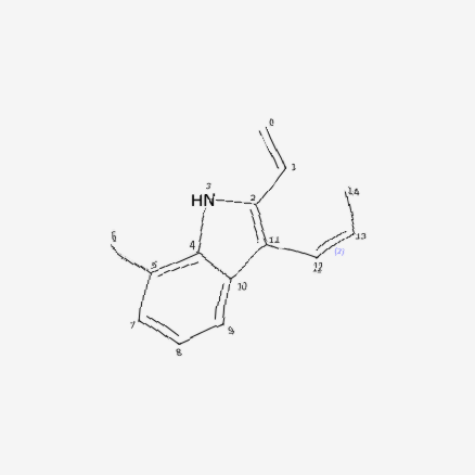 C=Cc1[nH]c2c(C)cccc2c1/C=C\C